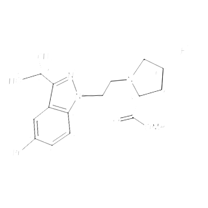 COC(=O)[C@H]1C[C@@H](F)CN1CCn1nc([C@@H](C)O)c2cc(Br)ccc21